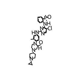 Cc1cc(Nc2ncc(Cl)c(Nc3ccccc3P(C)(C)=O)n2)cc2c1N1CCN(C3CCN(C4CC4)CC3)C[C@H]1CO2